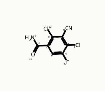 N#Cc1c(Cl)c(F)cc(C(N)=O)c1Cl